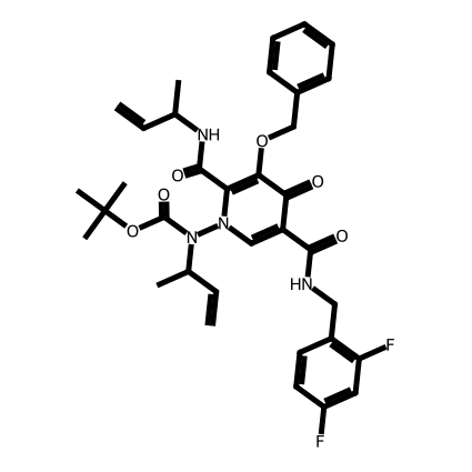 C=CC(C)NC(=O)c1c(OCc2ccccc2)c(=O)c(C(=O)NCc2ccc(F)cc2F)cn1N(C(=O)OC(C)(C)C)C(C)C=C